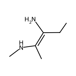 CC/C(N)=C(\C)NC